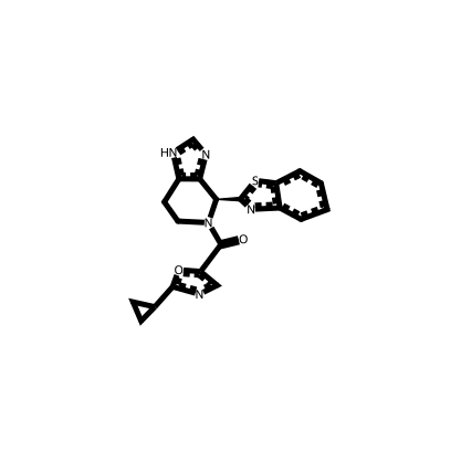 O=C(c1cnc(C2CC2)o1)N1CCc2[nH]cnc2[C@H]1c1nc2ccccc2s1